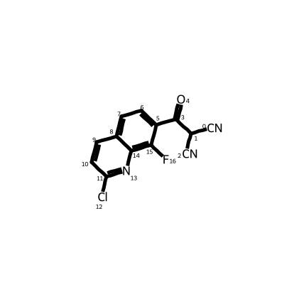 N#CC(C#N)C(=O)c1ccc2ccc(Cl)nc2c1F